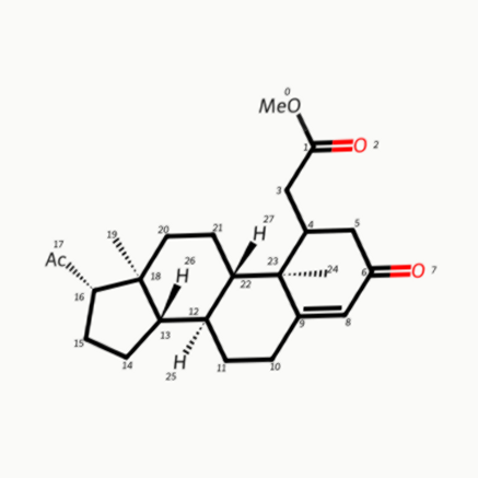 COC(=O)CC1CC(=O)C=C2CC[C@H]3[C@@H]4CC[C@H](C(C)=O)[C@@]4(C)CC[C@@H]3[C@]21C